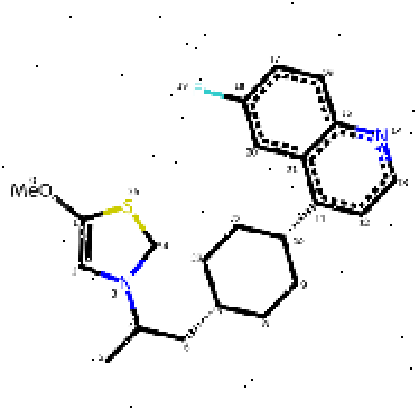 COC1=CN(C(C)C[C@H]2CC[C@@H](c3ccnc4ccc(F)cc43)CC2)CS1